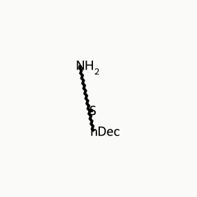 CCCCCCCCCCCCCCCCCC(=S)CCCCCCCCCCCCCCCCCN